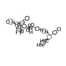 C[C@@]1(CN2CCNCC2)CCC(c2ccc(Cl)cc2)=C(CN2CCN(c3ccc(C(=O)NS(=O)(=O)c4ccc(N[C@H](CCN5CCCOCC5)CSc5ccccc5)c(S(=O)(=O)C(F)(F)F)c4)cc3)CC2)C1